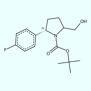 CC(C)(C)OC(=O)N1C(CO)CC[C@H]1c1ccc(F)cc1